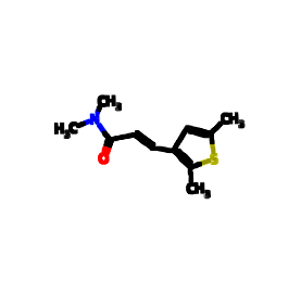 Cc1cc(C=CC(=O)N(C)C)c(C)s1